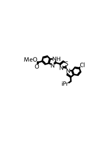 COC(=O)c1ccc2[nH]c(-c3csc(-n4cc(CC(C)C)c5ccc(Cl)cc54)n3)nc2c1